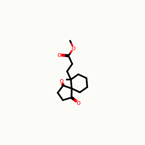 COC(=O)CCC1(C)CCCCC12C(=O)CCC2=O